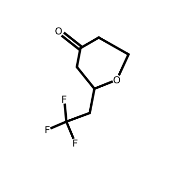 O=C1CCOC(CC(F)(F)F)C1